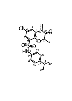 CC1Oc2c(cc(Cl)cc2S(=O)(=O)Nc2ccc(C(C)C)cc2)NC1=O